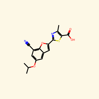 Cc1nc(-c2cc3cc(OC(C)C)cc(C#N)c3o2)sc1C(=O)O